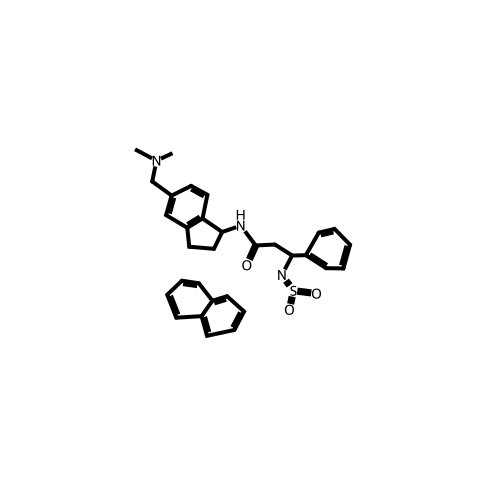 CN(C)Cc1ccc2c(c1)CCC2NC(=O)CC(N=S(=O)=O)c1ccccc1.c1ccc2ccccc2c1